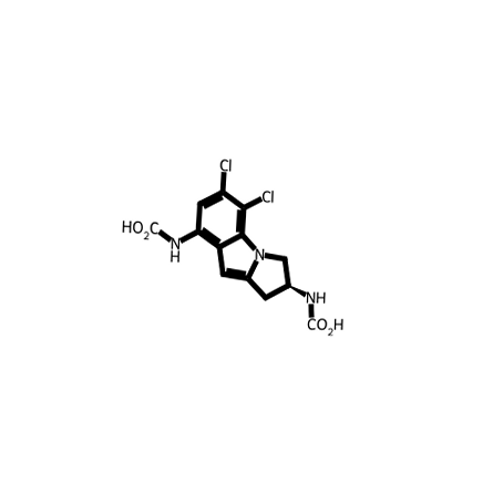 O=C(O)Nc1cc(Cl)c(Cl)c2c1cc1n2C[C@@H](NC(=O)O)C1